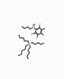 CCCCC[B-](CCCCC)(CCCCC)CCCCC.CCCC[NH+](C)c1c(F)c(C)c(F)c(F)c1F